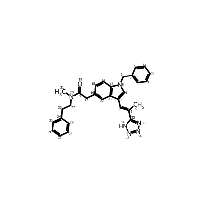 C/C(=C\c1cn(Cc2ccccc2)c2ccc(CC(=O)N(C)CCc3ccccc3)cc12)c1nnn[nH]1